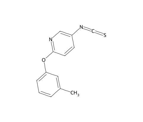 Cc1cccc(Oc2ccc(N=C=S)cn2)c1